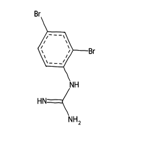 N=C(N)Nc1ccc(Br)cc1Br